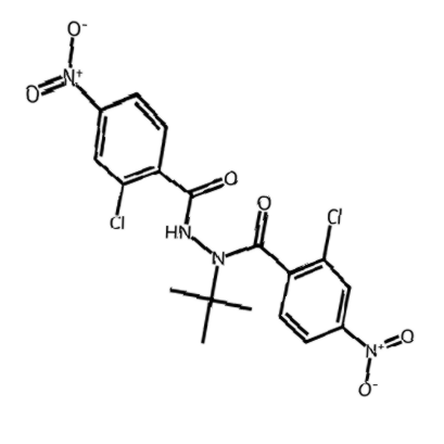 CC(C)(C)N(NC(=O)c1ccc([N+](=O)[O-])cc1Cl)C(=O)c1ccc([N+](=O)[O-])cc1Cl